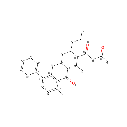 CCCC(CC1CC(=O)c2c(C)ccc(C3=CCC=CC3)c2C1)C(CC)C(=O)CC(C)=O